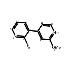 COc1cc(-c2cccnc2F)ccn1